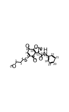 COCCCSC1=CC(=O)c2onc(C(=O)Nc3ccccc3)c2C1=O